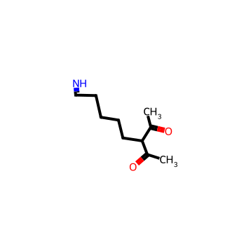 CC(=O)C(CCCCC=N)C(C)=O